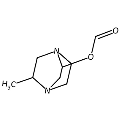 CC1CN2CCN1CC2OC=O